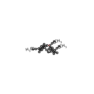 Cc1ccc(-c2ccc(-c3cccc(N4c5ccccc5B5c6cc(Cc7ccc(-c8ccc(-c9cc%10c%11c(c9)N9c%12cccc%13c%12B(c%12ccc(-c%14ccc(-c%15ccc(C)o%15)cc%14)cc%12N%13c%12ccccc%12)c%12cccc(c%129)B%11c9ccccc9N%10c9ccccc9)cc8)o7)cc7c6N(c6cccc4c65)c4cc(-c5ccc(-c6ccc(C)o6)cc5)cc5c4B7c4ccccc4N5c4ccccc4)c3)cc2)o1